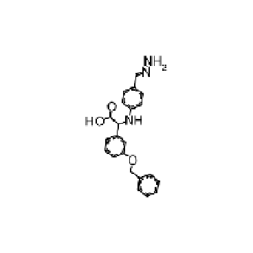 NN=Cc1ccc(NC(C(=O)O)c2cccc(OCc3ccccc3)c2)cc1